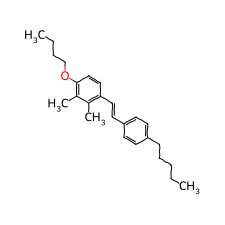 CCCCCc1ccc(C=Cc2ccc(OCCCC)c(C)c2C)cc1